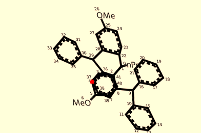 CCCC(c1ccc(OC)cc1C(c1ccccc1)c1ccccc1)c1ccc(OC)cc1C(c1ccccc1)c1ccccc1